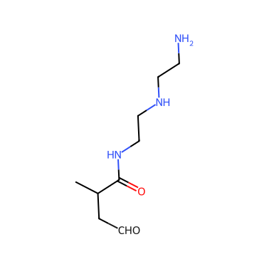 CC(CC=O)C(=O)NCCNCCN